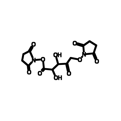 O=C(CON1C(=O)CCC1=O)C(O)C(O)C(=O)ON1C(=O)CCC1=O